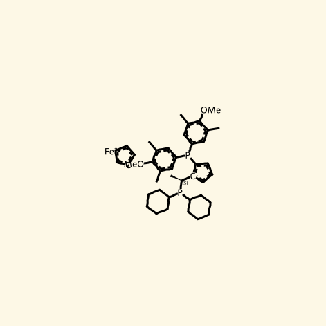 COc1c(C)cc(P(c2cc(C)c(OC)c(C)c2)c2ccc[c-]2[C@H](C)P(C2CCCCC2)C2CCCCC2)cc1C.[Fe+2].c1cc[cH-]c1